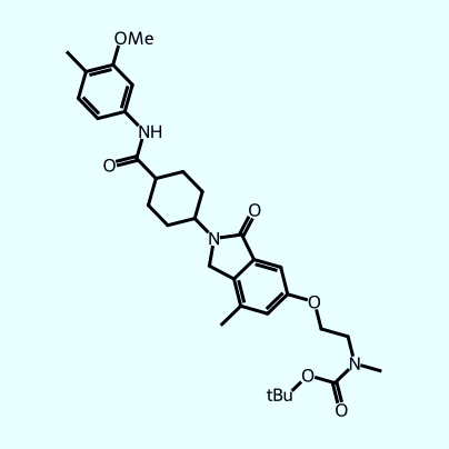 COc1cc(NC(=O)C2CCC(N3Cc4c(C)cc(OCCN(C)C(=O)OC(C)(C)C)cc4C3=O)CC2)ccc1C